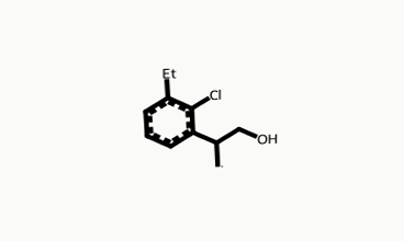 [CH2]C(CO)c1cccc(CC)c1Cl